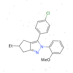 [CH2]CC1Cc2nn(-c3ccccc3OC)c(-c3ccc(Cl)cc3)c2C1